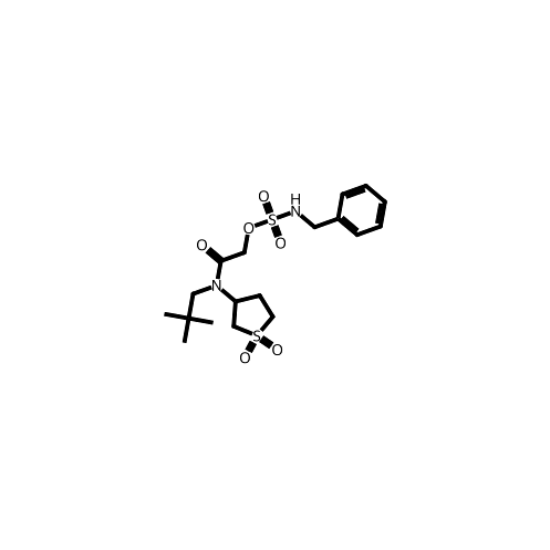 CC(C)(C)CN(C(=O)COS(=O)(=O)NCc1ccccc1)C1CCS(=O)(=O)C1